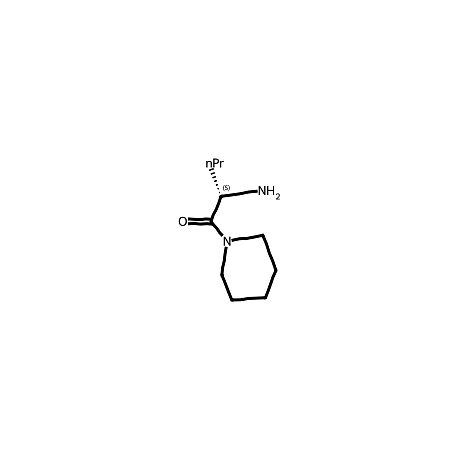 CCC[C@H](N)C(=O)N1CCCCC1